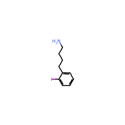 NCCCCc1ccccc1I